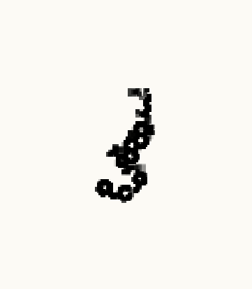 C=C(C)[C@@H]1CC[C@]2(C(=O)NC3CCC(CN4CCC(Cc5ccccc5)CC4)C3)CC=C3[C@H](CC[C@@H]4[C@@]5(C)CCC(OC(=O)CCCC(=O)O)C(C)(C)[C@@H]5CC[C@@]34C)[C@@H]12